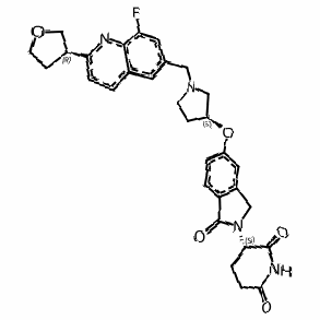 O=C1CC[C@H](N2Cc3cc(O[C@H]4CCN(Cc5cc(F)c6nc([C@H]7CCOC7)ccc6c5)C4)ccc3C2=O)C(=O)N1